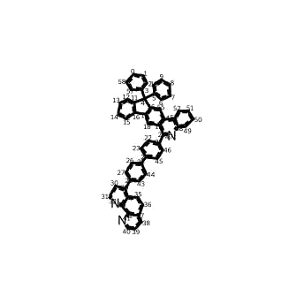 c1ccc(C2(c3ccccc3)c3ccccc3-c3cc4c(-c5ccc(-c6ccc(-c7ccnc8c7ccc7cccnc78)cc6)cc5)nc5ccccc5c4cc32)cc1